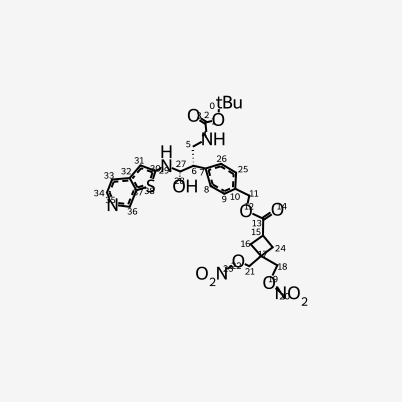 CC(C)(C)OC(=O)NC[C@H](c1ccc(COC(=O)C2CC(CO[N+](=O)[O-])(CO[N+](=O)[O-])C2)cc1)[C@H](O)Nc1cc2ccncc2s1